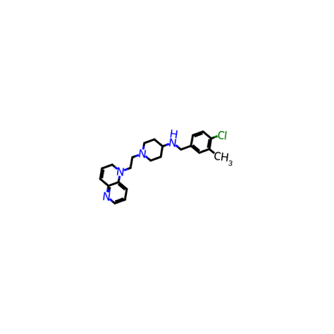 Cc1cc(CNC2CCN(CCN3CC=Cc4ncccc43)CC2)ccc1Cl